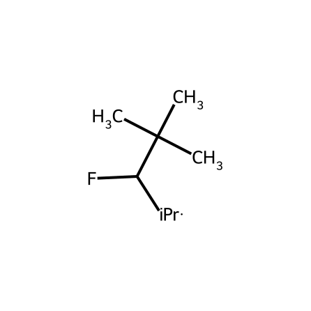 C[C](C)C(F)C(C)(C)C